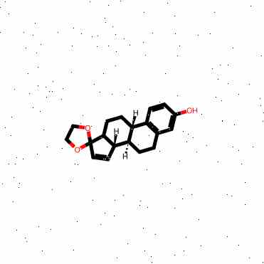 Oc1ccc2c(c1)CC[C@@H]1[C@@H]2CCC2[C@H]1C=CC21OCCO1